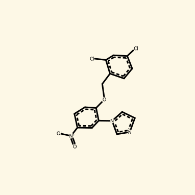 O=[N+]([O-])c1ccc(OCc2ccc(Cl)cc2Cl)c(-n2ccnc2)c1